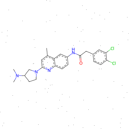 Cc1cc(N2CCC(N(C)C)C2)nc2ccc(NC(=O)Cc3ccc(Cl)c(Cl)c3)cc12